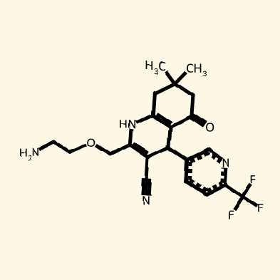 CC1(C)CC(=O)C2=C(C1)NC(COCCN)=C(C#N)C2c1ccc(C(F)(F)F)nc1